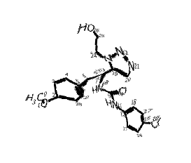 COc1ccc(C[C@H](NC(=O)Nc2ccc(Cl)cc2)c2cnnn2CCO)cc1